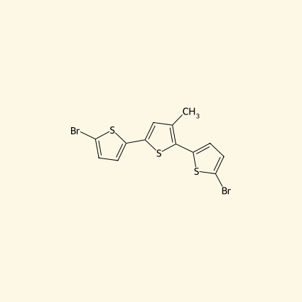 Cc1cc(-c2ccc(Br)s2)sc1-c1ccc(Br)s1